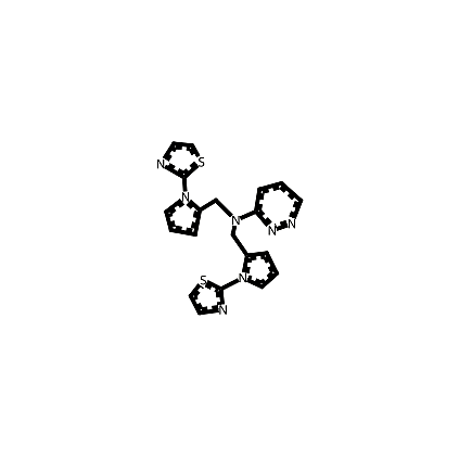 c1cnnc(N(Cc2cccn2-c2nccs2)Cc2cccn2-c2nccs2)c1